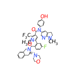 CN1CCc2cc(N(C(=O)c3cc(-c4cc(F)ccc4C(=O)N4Cc5ccccc5C[C@H]4CN4CCOCC4)n(C)c3C(F)(F)F)c3ccc(O)cc3)cnc21